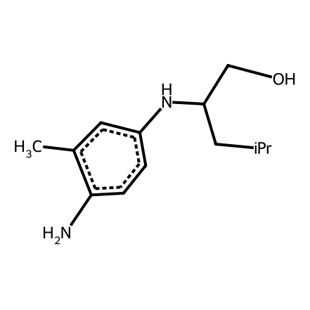 Cc1cc(NC(CO)CC(C)C)ccc1N